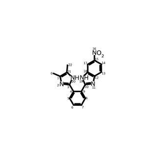 Cc1nc(-c2ccccc2-c2nc3ccc([N+](=O)[O-])cc3[nH]2)[nH]c1C